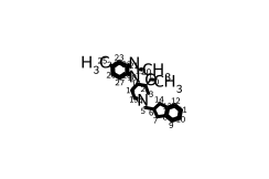 CO[C@H]1CN(CC2Cc3ccccc3C2)CC[C@H]1n1c(C)nc2cc(C)ccc21